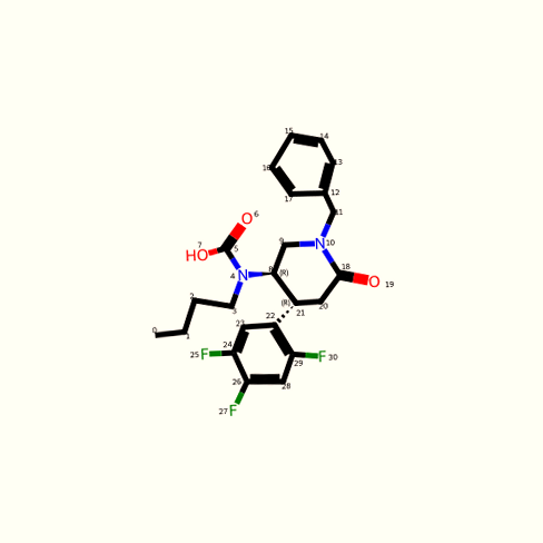 CCCCN(C(=O)O)[C@H]1CN(Cc2ccccc2)C(=O)C[C@@H]1c1cc(F)c(F)cc1F